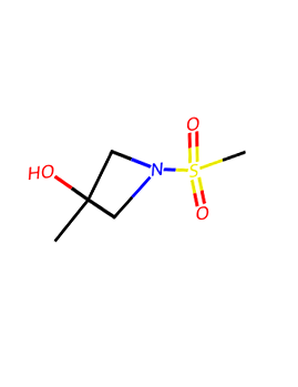 CC1(O)CN(S(C)(=O)=O)C1